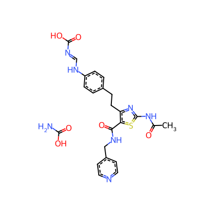 CC(=O)Nc1nc(CCc2ccc(NC=NC(=O)O)cc2)c(C(=O)NCc2ccncc2)s1.NC(=O)O